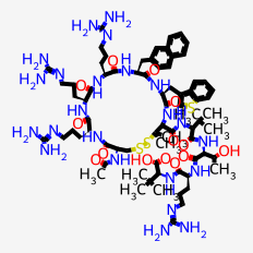 CC(=O)N[C@H]1CSSC(C)(C)C(C(=O)NC(C(=O)N[C@H](C(=O)N[C@@H](CCCN=C(N)N)C(=O)N[C@H](C(=O)O)C(C)(C)C)C(C)O)C(C)(C)C)NC(=O)[C@H](Cc2csc3ccccc23)NC(=O)[C@H](Cc2ccc3ccccc3c2)NC(=O)[C@H](CCCN=C(N)N)NC(=O)[C@H](CCCN=C(N)N)NC(=O)[C@@H](CCCN=C(N)N)NC1=O